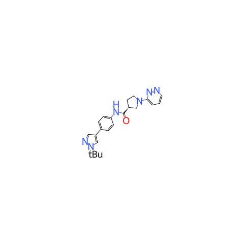 CC(C)(C)n1cc(-c2ccc(NC(=O)[C@H]3CCN(c4cccnn4)C3)cc2)cn1